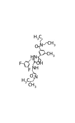 CCCN(CCC)C(=O)c1cc(C)cc(C(=O)N[C@@H](Cc2cc(F)cc(F)c2)[C@H](O)CNCc2cnc(CC(C)C)o2)c1